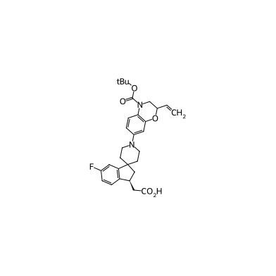 C=CC1CN(C(=O)OC(C)(C)C)c2ccc(N3CCC4(CC3)C[C@@H](CC(=O)O)c3ccc(F)cc34)cc2O1